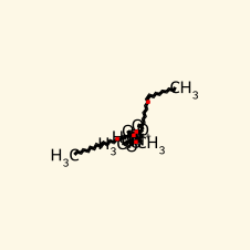 CCCCCCCCC=CCCCCCCCC(=O)OCC(C[N+](C)(C)OP(=O)([O-])OCC)OC(=O)CCCCCCC/C=C\CCCCCCCC